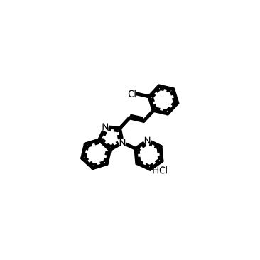 Cl.Clc1ccccc1/C=C/c1nc2ccccc2n1-c1ccccn1